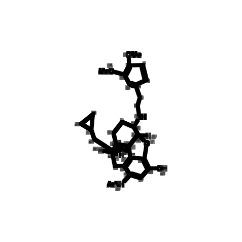 COc1ccc(CCN[C@@H]2CC[C@H]3[C@H]4Cc5c(NC(C)=O)cc(O)c6c5[C@@]3(CCN4CC3CC3)[C@H]2O6)cc1OC